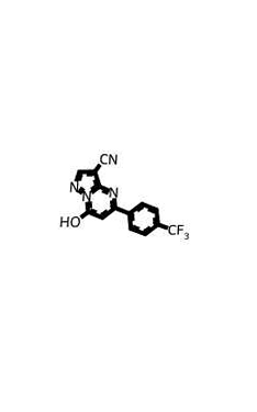 N#Cc1cnn2c(O)cc(-c3ccc(C(F)(F)F)cc3)nc12